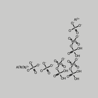 O=P(O)(O)[O][Mo](=[O])(=[O])[O-].O=P(O)(O)[O][Mo](=[O])(=[O])[O-].O=P(O)(O)[O][Mo](=[O])(=[O])[O-].O=P([O-])([O-])[O-].O=P([O-])([O-])[O-].O=P([O-])([O-])[O-].[Al+3].[Al+3].[Al+3].[Al+3]